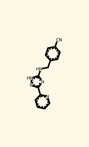 N#Cc1ccc(CNc2nc(-c3ccccn3)n[nH]2)cc1